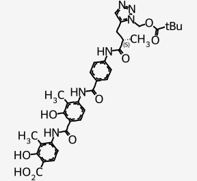 Cc1c(NC(=O)c2ccc(NC(=O)c3ccc(NC(=O)[C@@H](C)Cc4cnnn4COC(=O)C(C)(C)C)cc3)c(C)c2O)ccc(C(=O)O)c1O